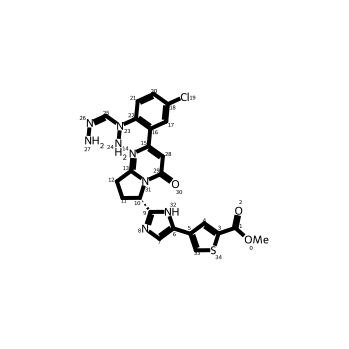 COC(=O)c1cc(-c2cnc([C@@H]3CCc4nc(-c5cc(Cl)ccc5N(N)/C=N\N)cc(=O)n43)[nH]2)cs1